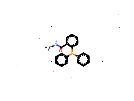 CNC(=O)c1ccccc1P(c1ccccc1)c1ccccc1